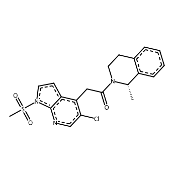 C[C@H]1c2ccccc2CCN1C(=O)Cc1c(Cl)cnc2c1ccn2S(C)(=O)=O